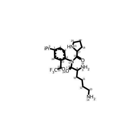 CC(C)c1ccc(N(C(=O)C(N)CCCCN)C(=O)C2CCCN2)c(C(=O)C(F)(F)F)c1